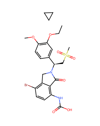 C1CC1.CCOc1cc([C@@H](CS(C)(=O)=O)N2Cc3c(Br)ccc(NC(=O)O)c3C2=O)ccc1OC